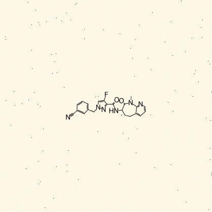 CN1C(=O)C(NC(=O)c2nn(Cc3cccc(C#N)c3)cc2F)CCc2cccnc21